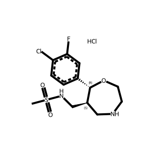 CS(=O)(=O)NC[C@@H]1CNCCO[C@H]1c1ccc(Cl)c(F)c1.Cl